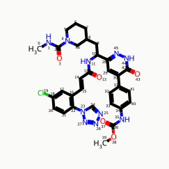 CNC(=O)N1CCCC(CC(NC(=O)/C=C/c2cc(Cl)ccc2-n2cnnn2)c2cc(-c3ccc(NC(=O)OC)cc3)c(=O)[nH]n2)C1